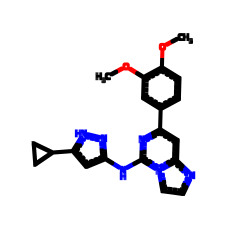 COc1ccc(-c2cc3nccn3c(Nc3cc(C4CC4)[nH]n3)n2)cc1OC